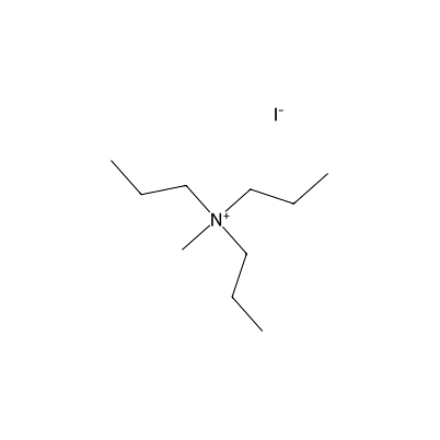 CCC[N+](C)(CCC)CCC.[I-]